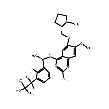 COc1cc2nc(C)nc(N[C@H](C)c3cccc(C(F)(F)C(C)(C)O)c3F)c2cc1OC[C@@H]1CCCN1C